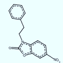 O=c1oc2cc([N+](=O)[O-])ccc2n1CCc1ccccc1